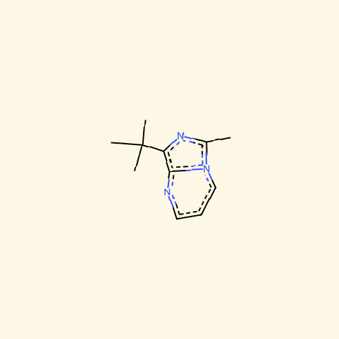 Cc1nc(C(C)(C)C)c2ncccn12